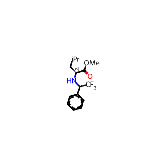 COC(=O)[C@H](CC(C)C)NC(c1ccccc1)C(F)(F)F